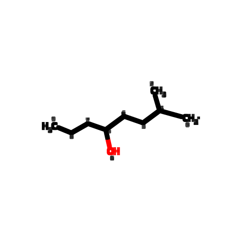 [CH2]C(C)CCC(O)CCC